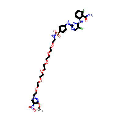 COc1nn(CCOCCOCCOCCOCCOCCOCCNS(=O)(=O)c2ccc(Nc3ncc(Br)c(Nc4cccc(F)c4C(N)=O)n3)cc2)cc1[N+](=O)[O-]